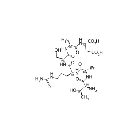 CC(C)[C@H](NC(=O)[C@@H](N)[C@@H](C)O)C(=O)N[C@@H](CCCNC(=N)N)C(=O)N[C@@H](CO)C(=O)N[C@@H](C)C(=O)N[C@@H](CC(=O)O)C(=O)O